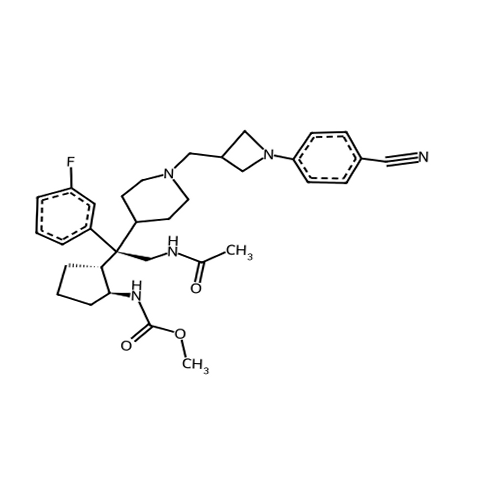 COC(=O)N[C@H]1CCC[C@@H]1[C@](CNC(C)=O)(c1cccc(F)c1)C1CCN(CC2CN(c3ccc(C#N)cc3)C2)CC1